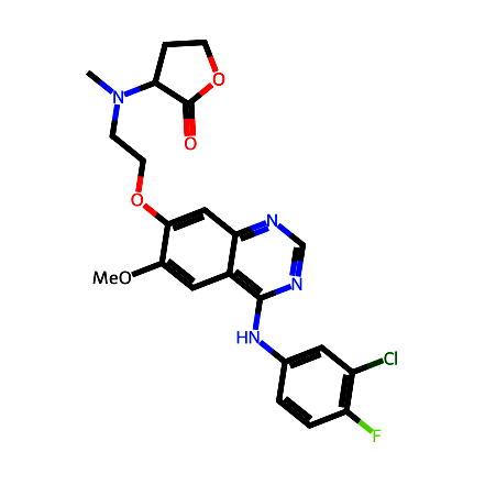 COc1cc2c(Nc3ccc(F)c(Cl)c3)ncnc2cc1OCCN(C)C1CCOC1=O